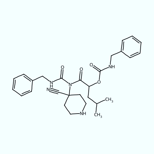 CC(C)CC(OC(=O)NCc1ccccc1)C(=O)N(C(=O)NCc1ccccc1)C1(C#N)CCNCC1